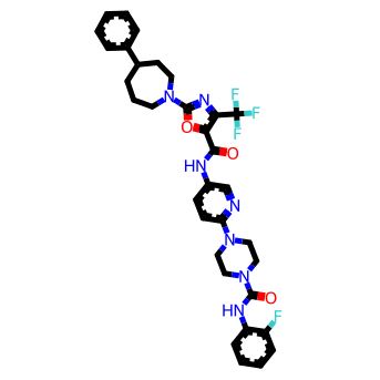 O=C(Nc1ccc(N2CCN(C(=O)Nc3ccccc3F)CC2)nc1)c1oc(N2CCCC(c3ccccc3)CC2)nc1C(F)(F)F